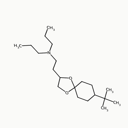 CCCN(CCC)CCC1COC2(CCC(C(C)(C)C)CC2)O1